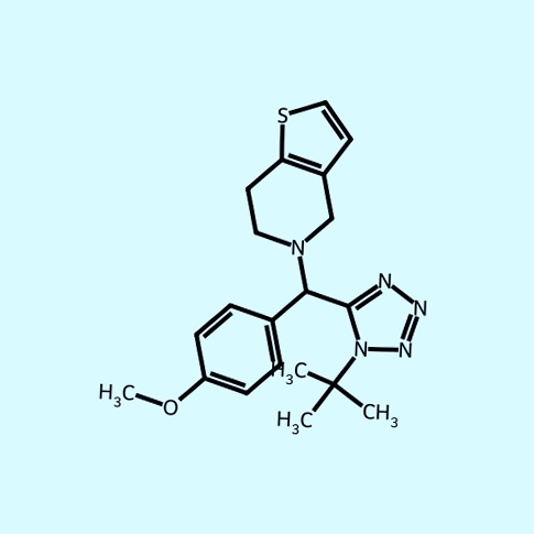 COc1ccc(C(c2nnnn2C(C)(C)C)N2CCc3sccc3C2)cc1